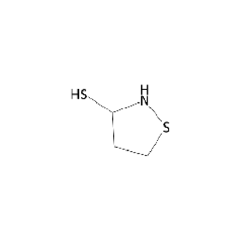 SC1CCSN1